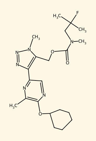 Cc1nc(-c2nnn(C)c2COC(=O)N(C)CC(C)(C)F)cnc1OC1CCCCC1